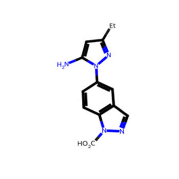 CCc1cc(N)n(-c2ccc3c(cnn3C(=O)O)c2)n1